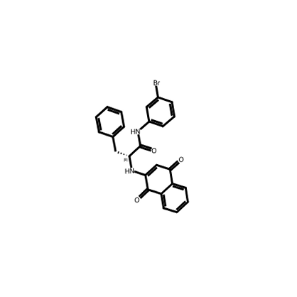 O=C1C=C(N[C@H](Cc2ccccc2)C(=O)Nc2cccc(Br)c2)C(=O)c2ccccc21